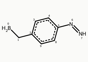 BCc1ccc(N=N)cc1